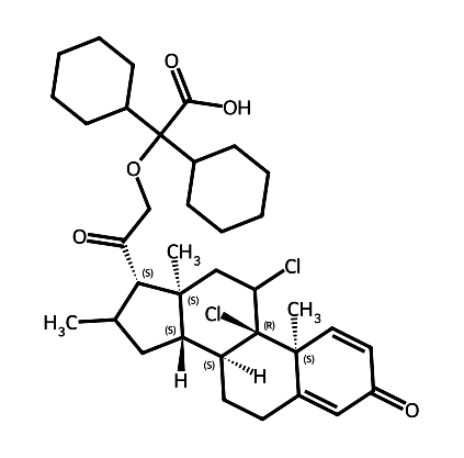 CC1C[C@H]2[C@@H]3CCC4=CC(=O)C=C[C@]4(C)[C@@]3(Cl)C(Cl)C[C@]2(C)[C@H]1C(=O)COC(C(=O)O)(C1CCCCC1)C1CCCCC1